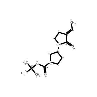 C/C=C1\CCN([C@@H]2CCN(C(=O)OC(C)(C)C)C2)C1=O